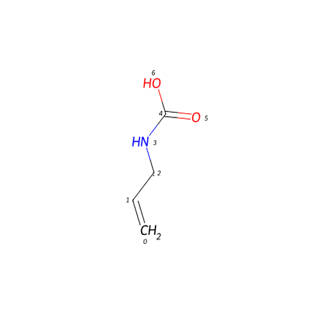 C=C[CH]NC(=O)O